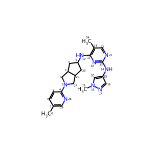 Cc1ccc(N2CC3CC(Nc4nc(Nc5cnn(C)c5)ncc4C)CC3C2)nc1